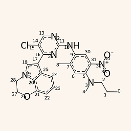 CCCN(C)c1cc(C)c(Nc2ncc(Cl)c(-c3cn4c5c(cccc35)OCC4)n2)cc1[N+](=O)[O-]